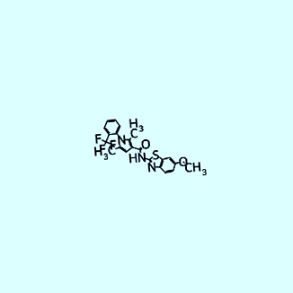 COc1ccc2nc(NC(=O)c3cc(C)n(-c4ccccc4C(F)(F)F)c3C)sc2c1